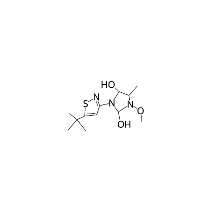 CON1C(C)C(O)N(c2cc(C(C)(C)C)sn2)C1O